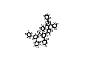 O=C(c1cc(-c2ccccc2)cc(-c2ccccc2)c1)c1cc(-c2ccccc2)cc(-c2cccc(-c3c(-c4ccccc4)nc(-c4ccccc4)nc3-c3ccccc3)c2)c1